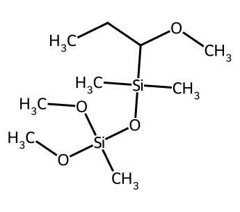 CCC(OC)[Si](C)(C)O[Si](C)(OC)OC